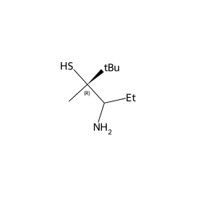 CCC(N)[C@](C)(S)C(C)(C)C